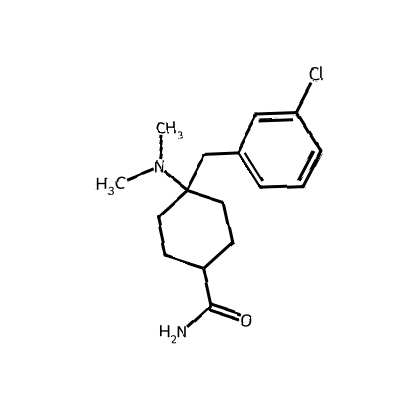 CN(C)C1(Cc2cccc(Cl)c2)CCC(C(N)=O)CC1